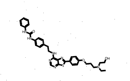 CCN(CCO)CCCOc1ccc(-c2nc3c(NCCc4ccc(NC(=O)Nc5ccccc5)cc4)ncnc3s2)cc1